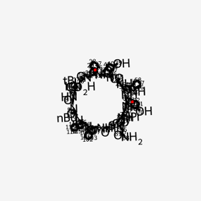 CCCC[C@H]1C(=O)N(C)CC(=O)N[C@@H](CC(=O)O)C(=O)N[C@@H](C(C)(C)C)C(=O)N(C)[C@@H](Cc2ccccc2)C(=O)N[C@@H](Cc2ccc(O)cc2)C(=O)N(C)CC(=O)N[C@@H](Cc2c[nH]c3ccccc23)C(=O)N[C@@H](Cc2ccc(O)cc2)C(=O)N[C@@H](CC(C)C)C(=O)N[C@H](C(=O)NCC(N)=O)CSCC(=O)N[C@@H](Cc2ccccc2)C(=O)N(C)[C@@H](Cc2ccccc2)C(=O)N1C